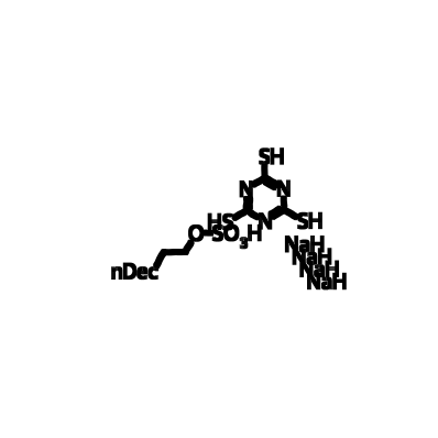 CCCCCCCCCCCCOS(=O)(=O)O.Sc1nc(S)nc(S)n1.[NaH].[NaH].[NaH].[NaH]